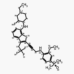 CCN1CCC(Nc2cccc3c(CC(F)(F)F)c(C#CCNc4ccc(P(C)(C)=O)cc4OC)sc23)C(F)C1